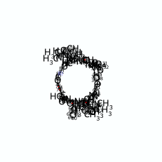 CN[C@@H](C)C(=O)N[C@H](C(=O)N1C[C@@H]2C[C@H]1C(=O)N[C@@H](C)C(=O)N[C@H](C(=O)NS(=O)(=O)C1CC1)Cc1ccc(cc1)OCc1cn(nn1)[C@H]1C[C@@H](C(=O)N[C@@H](Cc3ccc4ccccc4c3)C(=O)N[C@H](C(=O)O)Cc3ccc(cc3)OC/C=C/CO2)N(C(=O)[C@@H](NC(=O)[C@H](C)NC)C(C)(C)C)C1)C(C)(C)C